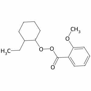 CCC1CCCC[C]1OOC(=O)c1ccccc1OC